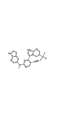 CN(c1cnc2[nH]ccc2c1)c1ncc(C#N)c(-c2c[nH]c3ncc(C(F)(F)F)cc23)n1